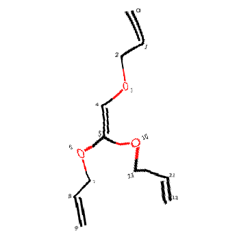 C=CCOC=C(OCC=C)OCC=C